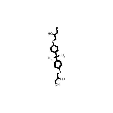 CC(C)(C1=CC[C@H](OCC(O)CF)C=C1)c1ccc(OCC(O)CO)cc1